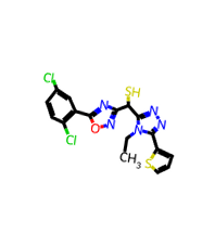 CCn1c(-c2cccs2)nnc1C(S)c1noc(-c2cc(Cl)ccc2Cl)n1